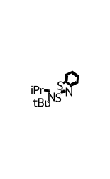 CC(C)CN(Sc1nc2ccccc2s1)C(C)(C)C